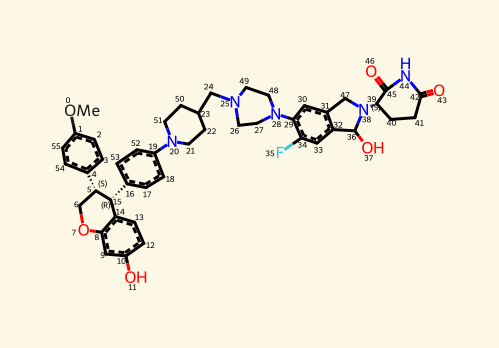 COc1ccc([C@H]2COc3cc(O)ccc3[C@H]2c2ccc(N3CCC(CN4CCN(c5cc6c(cc5F)C(O)N([C@H]5CCC(=O)NC5=O)C6)CC4)CC3)cc2)cc1